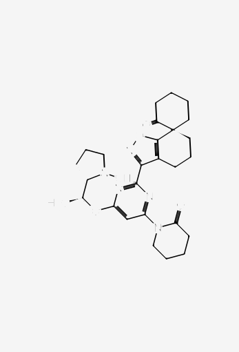 C[C@H](Oc1cc(N2CCCCC2=O)nc(-c2noc3c2CCC[C@@]32CCCCC2=O)n1)[C@@H]1CCCN1C